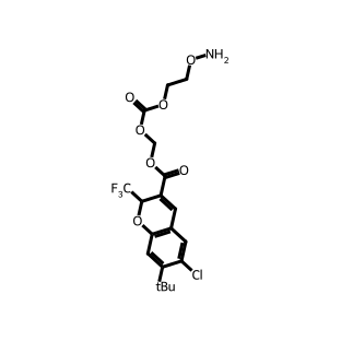 CC(C)(C)c1cc2c(cc1Cl)C=C(C(=O)OCOC(=O)OCCON)C(C(F)(F)F)O2